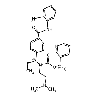 CC[C@@H](c1ccc(C(=O)Nc2ccccc2N)cc1)N(CCN(C)C)C(=O)O[C@@H](C)c1cccnc1